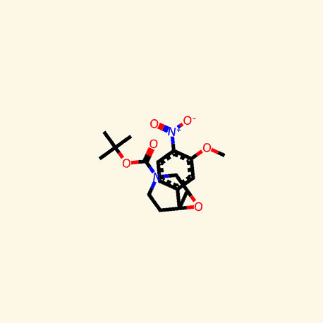 COc1cc(C23CCN(C(=O)OC(C)(C)C)CC2O3)ccc1[N+](=O)[O-]